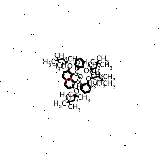 CC(C)(C)CC(C)(C)Oc1ccccc1[SiH](O[SiH](c1ccccc1OC(C)(C)CC(C)(C)C)c1ccccc1OC(C)(C)CC(C)(C)C)c1ccccc1OC(C)(C)CC(C)(C)C